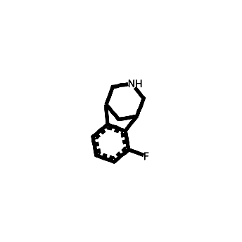 Fc1cccc2c1C1CNCC2C1